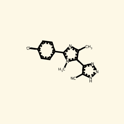 Cc1nc(-c2ccc(Cl)cc2)n(C)c1-c1nn[nH]c1C#N